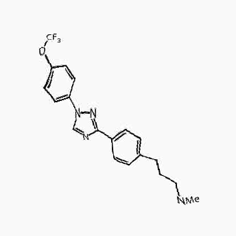 CNCCCc1ccc(-c2ncn(-c3ccc(OC(F)(F)F)cc3)n2)cc1